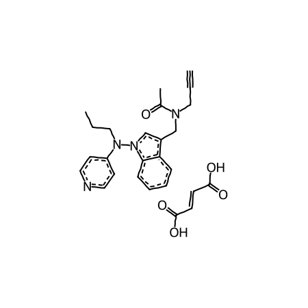 C#CCN(Cc1cn(N(CCC)c2ccncc2)c2ccccc12)C(C)=O.O=C(O)C=CC(=O)O